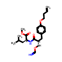 C=CCCOc1ccc(C[C@H](BOC=N)C(=O)N[C@@H](CC(C)C)C(=O)OC)cc1